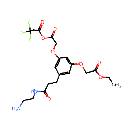 CCOC(=O)COc1cc(CCC(=O)NCCN)cc(OCC(=O)OC(=O)C(F)(F)F)c1